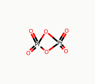 [O]=[Pr]1(=[O])[O][Pr](=[O])(=[O])[O]1